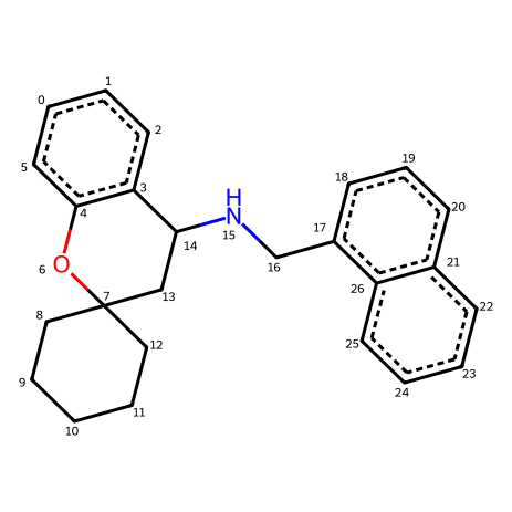 c1ccc2c(c1)OC1(CCCCC1)CC2NCc1cccc2ccccc12